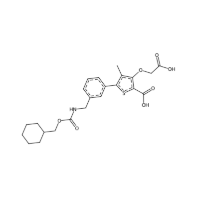 Cc1c(-c2cccc(CNC(=O)OCC3CCCCC3)c2)sc(C(=O)O)c1OCC(=O)O